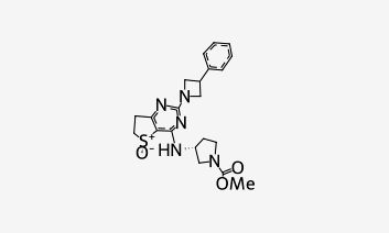 COC(=O)N1CC[C@@H](Nc2nc(N3CC(c4ccccc4)C3)nc3c2[S@+]([O-])CC3)C1